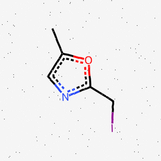 Cc1cnc(CI)o1